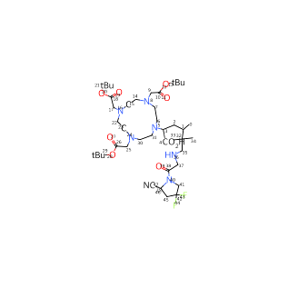 CC(CC(C(=O)O)N1CCN(CC(=O)OC(C)(C)C)CCN(CC(=O)OC(C)(C)C)CCN(CC(=O)OC(C)(C)C)CC1)C(C)(C)CNCC(=O)N1CC(F)(F)C[C@H]1C#N